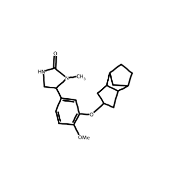 COc1ccc(C2CNC(=O)N2C)cc1OC1CC2C3CCC(C3)C2C1